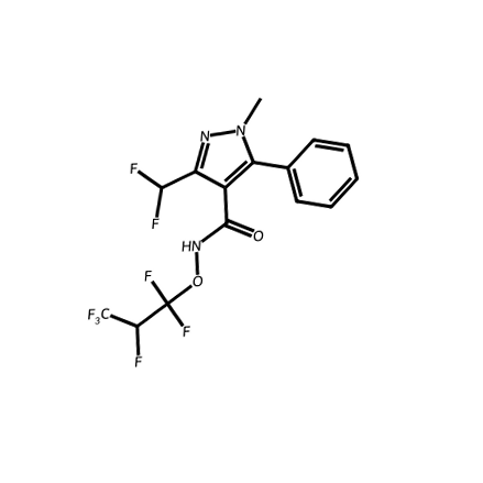 Cn1nc(C(F)F)c(C(=O)NOC(F)(F)C(F)C(F)(F)F)c1-c1ccccc1